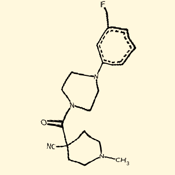 CN1CCC(C#N)(C(=O)N2CCN(c3cccc(F)c3)CC2)CC1